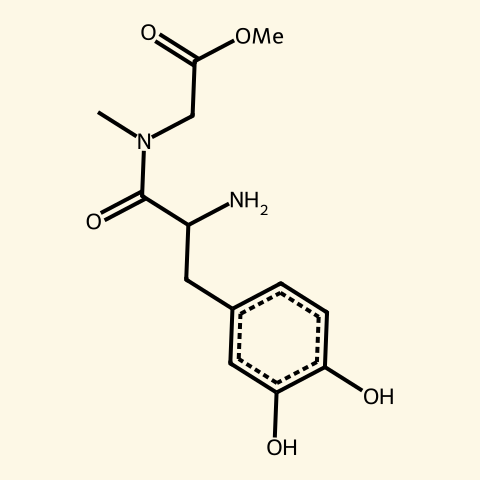 COC(=O)CN(C)C(=O)C(N)Cc1ccc(O)c(O)c1